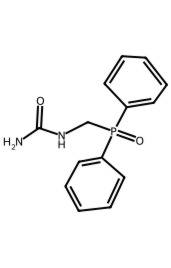 NC(=O)NCP(=O)(c1ccccc1)c1ccccc1